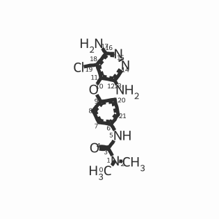 CN(C)C(=O)Nc1ccc(Oc2c(N)nnc(N)c2Cl)cc1